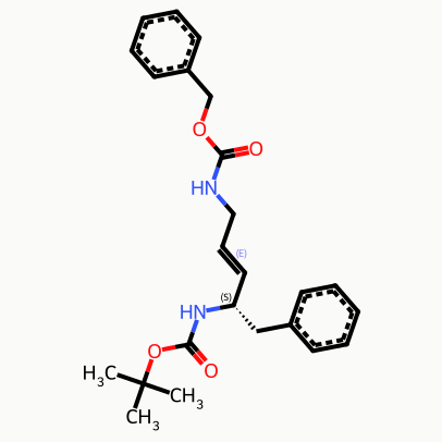 CC(C)(C)OC(=O)N[C@H](/C=C/CNC(=O)OCc1ccccc1)Cc1ccccc1